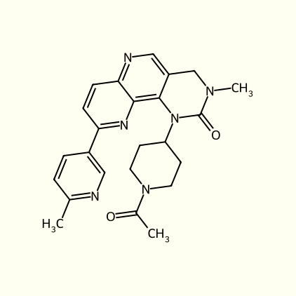 CC(=O)N1CCC(N2C(=O)N(C)Cc3cnc4ccc(-c5ccc(C)nc5)nc4c32)CC1